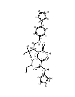 CCCC[C@@H](C(=O)C(=O)Nc1ccn[nH]1)N(C(=O)O)[C@H](COc1ccc(-n2ccnc2)cc1)C(C)(C)C